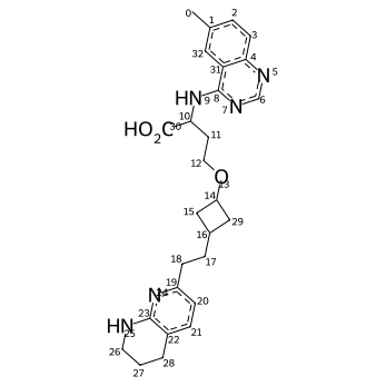 Cc1ccc2ncnc(NC(CCOC3CC(CCc4ccc5c(n4)NCCC5)C3)C(=O)O)c2c1